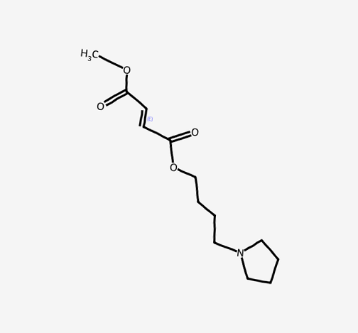 COC(=O)/C=C/C(=O)OCCCCN1CCCC1